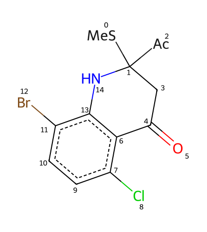 CSC1(C(C)=O)CC(=O)c2c(Cl)ccc(Br)c2N1